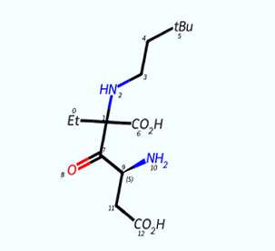 CCC(NCCC(C)(C)C)(C(=O)O)C(=O)[C@@H](N)CC(=O)O